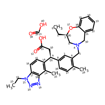 CC[C@@H]1CN(Cc2cc([C@H](CC(=O)O)c3ccc4c(nnn4CC)c3C)ccc2C)Cc2ccccc2O1.O=CO